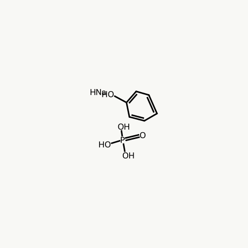 O=P(O)(O)O.Oc1ccccc1.[NaH]